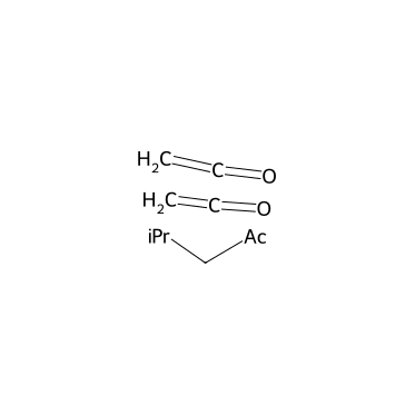 C=C=O.C=C=O.CC(=O)CC(C)C